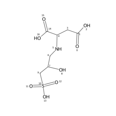 O=C(O)CC(NCC(O)CS(=O)(=O)O)C(=O)O